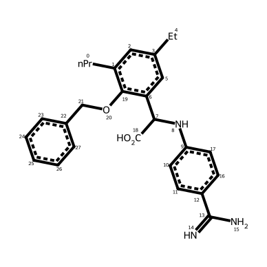 CCCc1cc(CC)cc(C(Nc2ccc(C(=N)N)cc2)C(=O)O)c1OCc1ccccc1